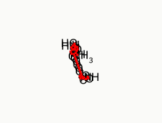 Cc1ccc(S(=O)(=O)N2CC[C@@H]3[C@H](CO)Nc4ccc(-c5cccc(NC(=O)COCCOCCOCCOCCOCCSc6cccc7c6CN(C6CCC(=O)NC6=O)C7=O)c5)cc4[C@@H]32)cc1